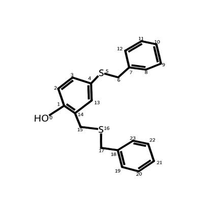 Oc1ccc(SCc2ccccc2)cc1CSCc1ccccc1